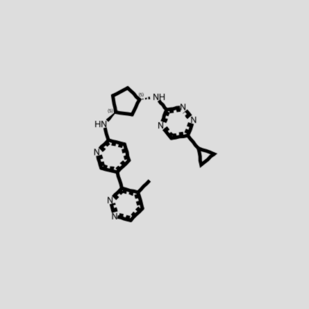 Cc1ccnnc1-c1ccc(N[C@H]2CC[C@H](Nc3ncc(C4CC4)nn3)C2)nc1